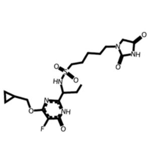 CCC(NS(=O)(=O)CCCCCN1CC(=O)NC1=O)c1nc(OCC2CC2)c(F)c(=O)[nH]1